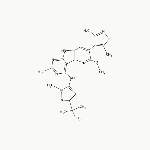 COc1nc2c(cc1-c1c(C)noc1C)[nH]c1nc(C)nc(Nc3cc(C(C)(C)C)nn3C)c12